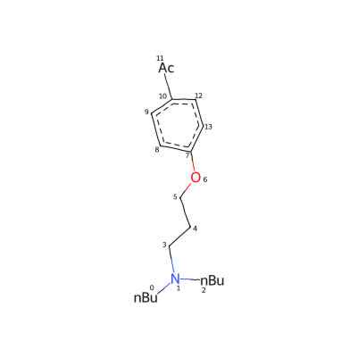 CCCCN(CCCC)CCCOc1ccc(C(C)=O)cc1